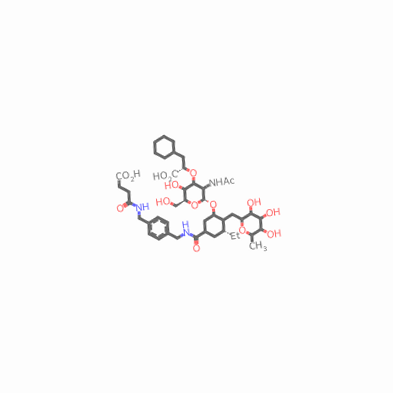 CC[C@@H]1CC(C(=O)NCc2ccc(CNC(=O)CCC(=O)O)cc2)CC(O[C@@H]2O[C@@H](CO)C(O)C(O[C@@H](CC3CCCCC3)C(=O)O)C2NC(C)=O)C1CC1OC(C)C(O)C(O)C1O